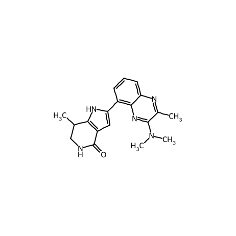 Cc1nc2cccc(-c3cc4c([nH]3)C(C)CNC4=O)c2nc1N(C)C